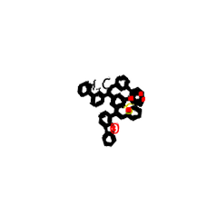 C/C(=C(\c1cccc(-c2ccccc2)c1)c1cc(/C(=C\c2ccccc2)c2cccc3c2oc2ccccc23)c2sc3ccccc3c2c1)c1cccc(-c2ccccc2)c1